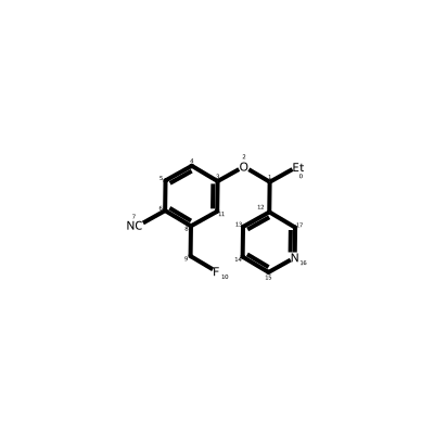 CCC(Oc1ccc(C#N)c(CF)c1)c1cccnc1